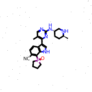 Cc1cnc(N[C@H]2CC[C@H](C)NC2)nc1-c1c[nH]c2c(P3(=O)CCCC3)c(C#N)ccc12